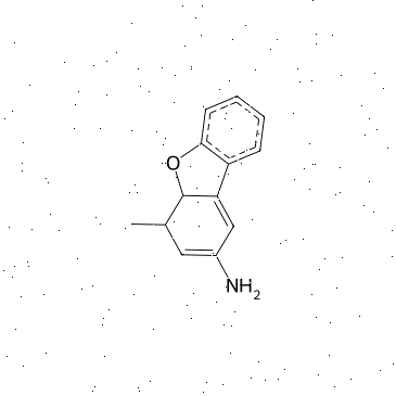 CC1C=C(N)C=C2c3ccccc3OC21